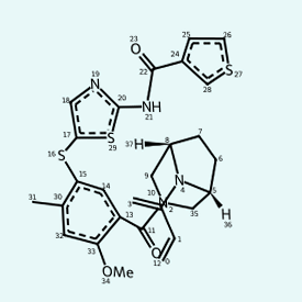 C=CC(=C)N1[C@@H]2CC[C@H]1CN(C(=O)c1cc(Sc3cnc(NC(=O)c4ccsc4)s3)c(C)cc1OC)C2